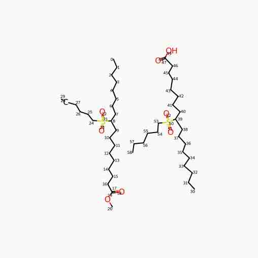 CCCCCCCCC(CCCCCCCCC(=O)OC)S(=O)(=O)CCCCCC.CCCCCCCCCC(CCCCCCCC(=O)O)S(=O)(=O)CCCCCC